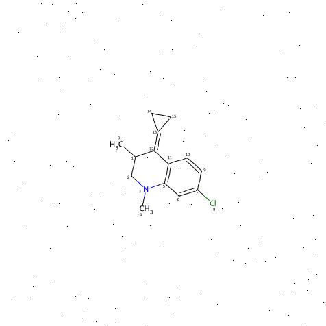 CC1CN(C)c2cc(Cl)ccc2C1=C1CC1